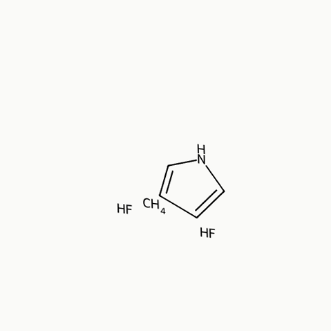 C.F.F.c1cc[nH]c1